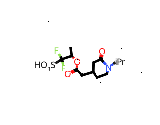 CC(C)N1CCC(CC(=O)OC(C)C(F)(F)S(=O)(=O)O)CC1=O